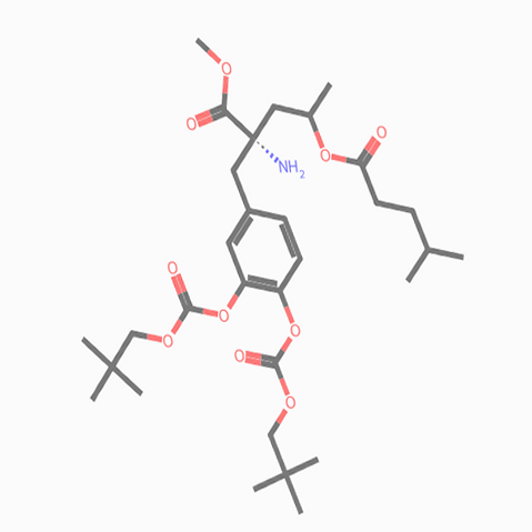 COC(=O)[C@](N)(Cc1ccc(OC(=O)OCC(C)(C)C)c(OC(=O)OCC(C)(C)C)c1)CC(C)OC(=O)CCC(C)C